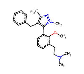 COc1c(CCN(C)C)cccc1-c1c(Cc2ccccc2)c(C)nn1C